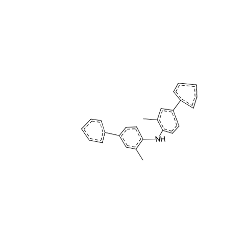 Cc1cc(-c2ccccc2)ccc1Nc1ccc(-c2ccccc2)cc1C